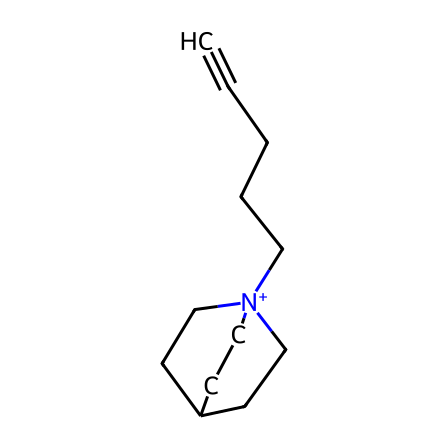 C#CCCC[N+]12CCC(CC1)CC2